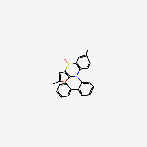 Cc1ccc2c(c1)[S+]([O-])c1cc(C)oc1N2c1ccccc1-c1ccccc1